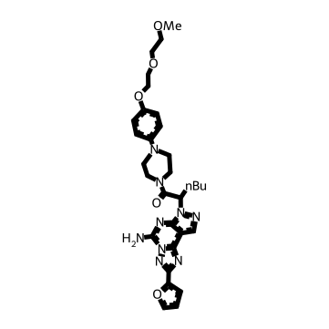 CCCCC(C(=O)N1CCN(c2ccc(OCCOCCOC)cc2)CC1)n1ncc2c1nc(N)n1nc(-c3ccco3)nc21